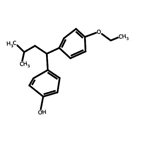 CCOc1ccc(C(CC(C)C)c2ccc(O)cc2)cc1